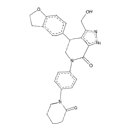 O=C1CCCCN1c1ccc(N2CC(c3ccc4c(c3)CCO4)c3c(CO)n[nH]c3C2=O)cc1